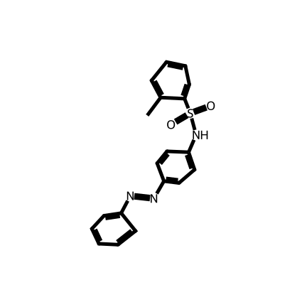 Cc1ccccc1S(=O)(=O)Nc1ccc(N=Nc2ccccc2)cc1